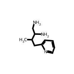 CC(Cc1ccccn1)C(N)CN